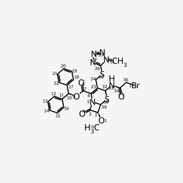 CO[C@H]1C(=O)N2C(C(=O)OC(c3ccccc3)c3ccccc3)=C(CSc3nnnn3C)C(NC(=O)CBr)SC12